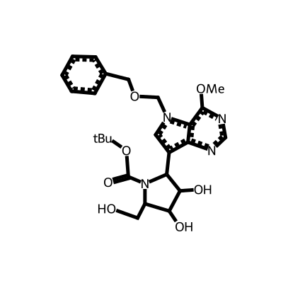 COc1ncnc2c(C3C(O)C(O)C(CO)N3C(=O)OC(C)(C)C)cn(COCc3ccccc3)c12